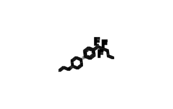 CCCC(F)(F)C(F)c1ccc([C@H]2CC[C@H](CCC)CC2)cc1